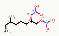 CCC(C)CCC[C@H](CON(O)O)ON(O)O